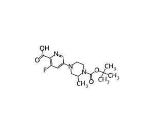 CC1CN(c2cnc(C(=O)O)c(F)c2)CCN1C(=O)OC(C)(C)C